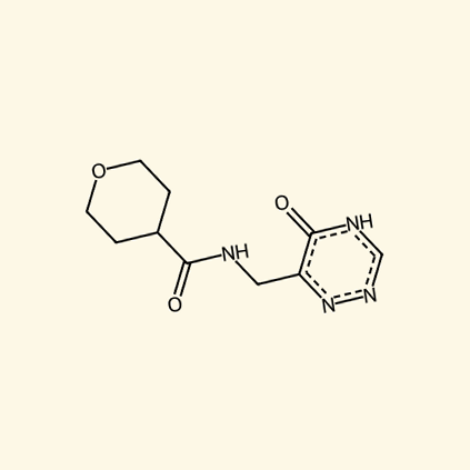 O=C(NCc1nnc[nH]c1=O)C1CCOCC1